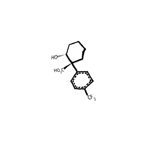 O=C(O)[C@]1(c2ccc(C(F)(F)F)cc2)CCCC[C@H]1O